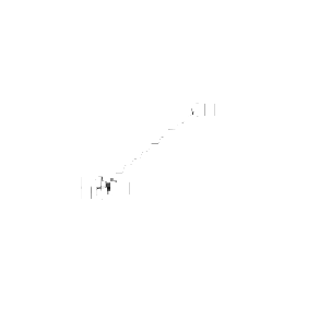 CCCCCCCCCCCCCCCCCCCCC[N+](C)(C)O